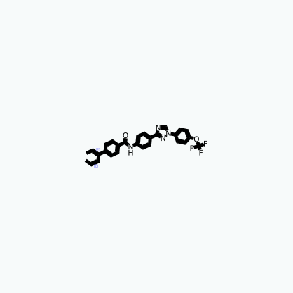 C/C=C\C(=C/C)c1ccc(C(=O)Nc2ccc(-c3ncn(-c4ccc(OC(F)(F)F)cc4)n3)cc2)cc1